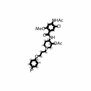 COc1cc(NC(C)=O)c(Cl)cc1C(=O)NC1CCN(CCCOc2ccc(F)cc2)CC1OC(C)=O